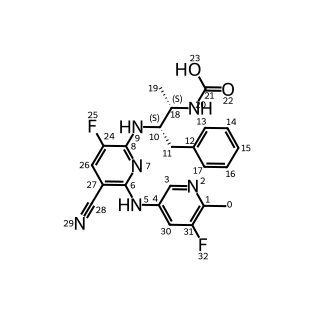 Cc1ncc(Nc2nc(N[C@@H](Cc3ccccc3)[C@H](C)NC(=O)O)c(F)cc2C#N)cc1F